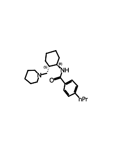 CCCc1ccc(C(=O)N[C@@H]2CCCC[C@H]2CN2CCCCC2)cc1